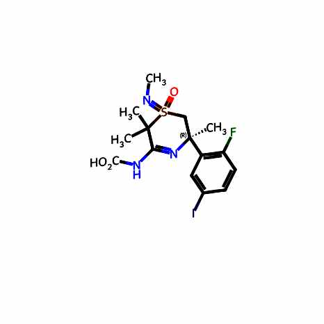 CN=S1(=O)C[C@@](C)(c2cc(I)ccc2F)N=C(NC(=O)O)C1(C)C